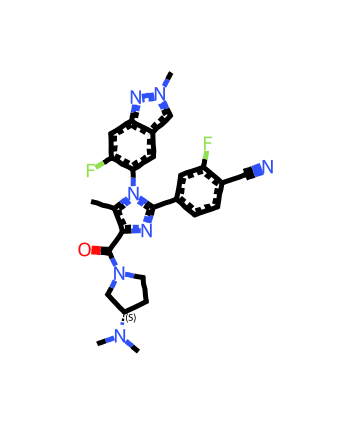 Cc1c(C(=O)N2CC[C@H](N(C)C)C2)nc(-c2ccc(C#N)c(F)c2)n1-c1cc2cn(C)nc2cc1F